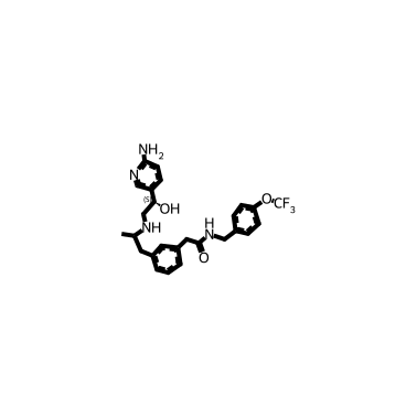 CC(Cc1cccc(CC(=O)NCc2ccc(OC(F)(F)F)cc2)c1)NC[C@@H](O)c1ccc(N)nc1